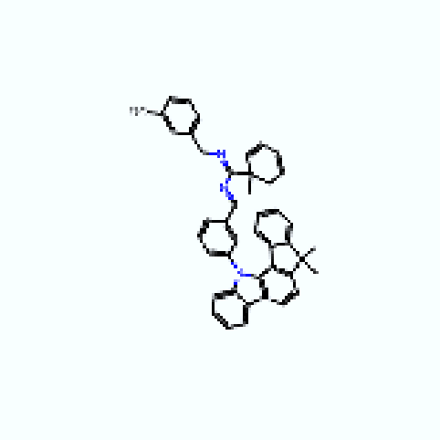 CC1(C(=N/Cc2cccc(C#N)c2)/N=C/c2cccc(-n3c4ccccc4c4ccc5c(c43)-c3ccccc3C5(C)C)c2)C=CC=CC1